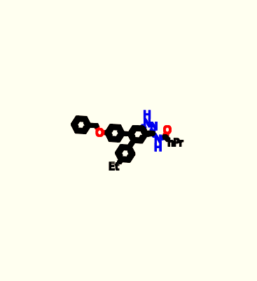 CCCC(=O)Nc1n[nH]c2cc(-c3ccc(OCc4ccccc4)cc3)c(-c3ccc(CC)cc3)cc12